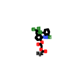 CC(=O)OCC(=O)Oc1ccc(CC(Cl)(Cl)Cl)cc1Nc1c(Cl)cccc1Cl